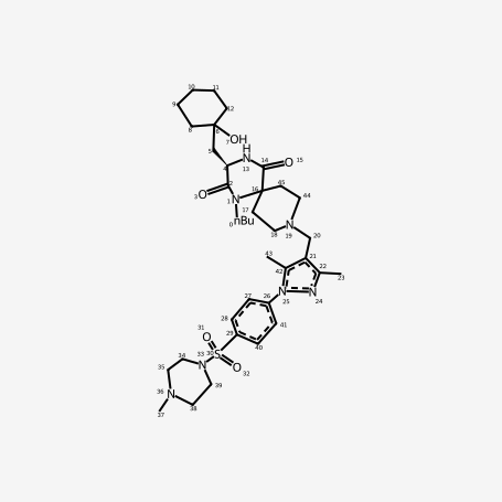 CCCCN1C(=O)[C@@H](CC2(O)CCCCC2)NC(=O)C12CCN(Cc1c(C)nn(-c3ccc(S(=O)(=O)N4CCN(C)CC4)cc3)c1C)CC2